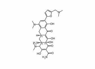 CN(C)Cc1ccc(-c2cc(N(C)C)c3c(c2O)C(=O)C2=C(O)[C@]4(O)C(=O)C(C(N)=O)=C(O)C(N(C)C)[C@]4(N)C[C@@H]2C3)o1